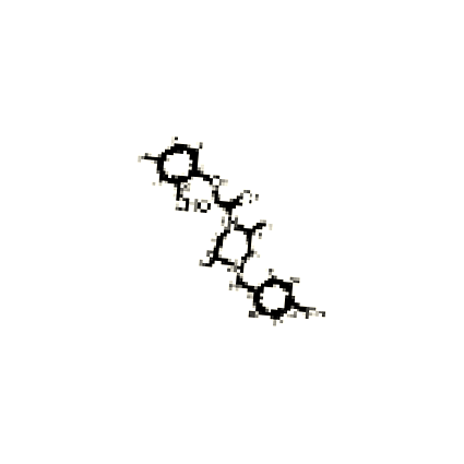 Cc1ccc(OCC(=O)N2CC(C)N(Cc3ccc(F)cc3)CC2C)c(C=O)c1